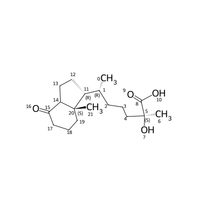 C[C@H](CCC[C@](C)(O)C(=O)O)[C@H]1CCC2C(=O)CCC[C@]21C